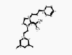 CC1CC(C)CN(CCN2CCN(CCCN3CC=CCC3)C2=C(C#N)C#N)C1